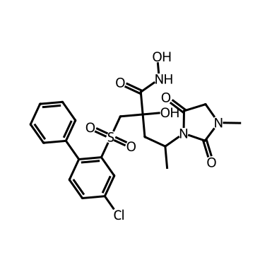 CC(CC(O)(CS(=O)(=O)c1cc(Cl)ccc1-c1ccccc1)C(=O)NO)N1C(=O)CN(C)C1=O